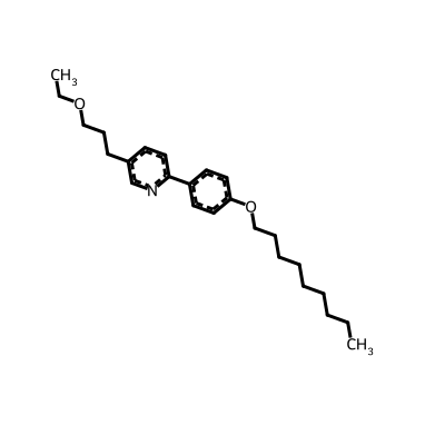 CCCCCCCCCOc1ccc(-c2ccc(CCCOCC)cn2)cc1